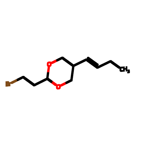 CCC=CC1COC(CCBr)OC1